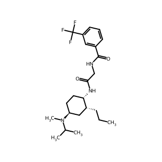 CCC[C@@H]1C[C@@H](N(C)C(C)C)CC[C@@H]1NC(=O)CNC(=O)c1cccc(C(F)(F)F)c1